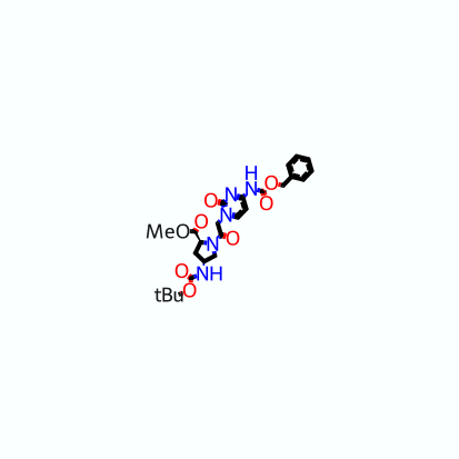 COC(=O)[C@@H]1C[C@@H](NC(=O)OC(C)(C)C)CN1C(=O)Cn1ccc(NC(=O)OCc2ccccc2)nc1=O